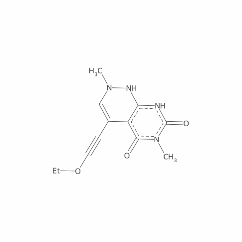 CCOC#CC1=CN(C)Nc2[nH]c(=O)n(C)c(=O)c21